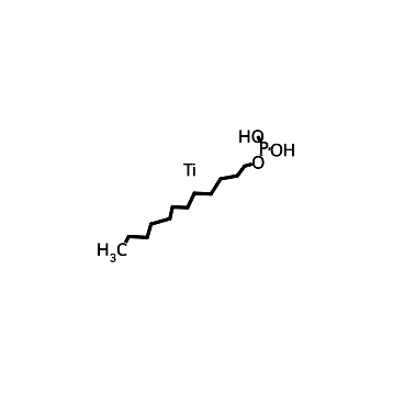 CCCCCCCCCCCCOP(O)O.[Ti]